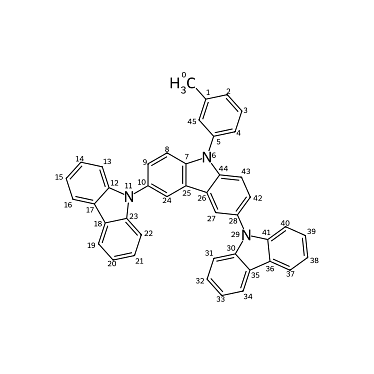 Cc1cccc(-n2c3ccc(-n4c5ccccc5c5ccccc54)cc3c3cc(-n4c5ccccc5c5ccccc54)ccc32)c1